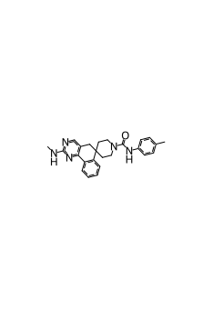 CNc1ncc2c(n1)-c1ccccc1C1(CCN(C(=O)Nc3ccc(C)cc3)CC1)C2